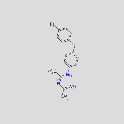 CCc1ccc(Cc2ccc(N/C(C)=N\C(C)=N)cc2)cc1